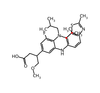 COCC(CC(=O)O)c1cc(F)c(N(CC(C)C)CC(C)C)c(Nc2ccc3nc(C)sc3c2)c1